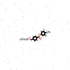 CCCCCOCc1ccc(C(=O)Oc2cc(F)c(C#N)c(F)c2)cc1